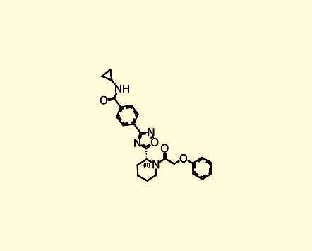 O=C(NC1CC1)c1ccc(-c2noc([C@H]3CCCCN3C(=O)COc3ccccc3)n2)cc1